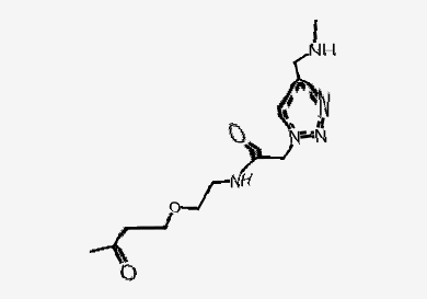 CNCc1cn(CC(=O)NCCOCCC(C)=O)nn1